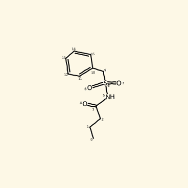 CCCC(=O)NS(=O)(=O)Cc1ccccc1